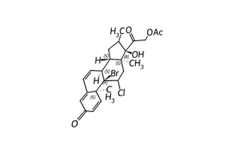 CC(=O)OCC(=O)[C@@]1(O)C(C)C[C@H]2[C@@H]3C=CC4=CC(=O)C=C[C@]4(C)[C@@]3(Br)C(Cl)C[C@@]21C